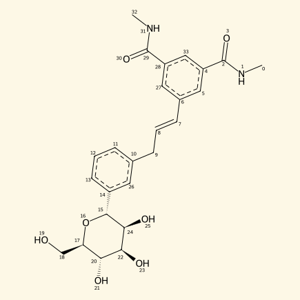 CNC(=O)c1cc(/C=C/Cc2cccc([C@H]3O[C@H](CO)[C@@H](O)[C@H](O)[C@@H]3O)c2)cc(C(=O)NC)c1